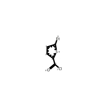 CCc1ccc(C(=O)Cl)s1